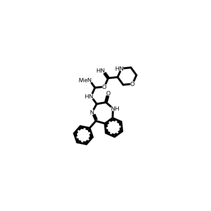 CNC(NC1N=C(c2ccccc2)c2ccccc2NC1=O)OC(=N)C1COCCN1